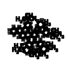 CC(C)(C)c1ccc(N2c3cc(-c4ccccc4)ccc3B3c4cc5c(cc4N(c4ccc6c(c4)C(C)(C)CCC6(C)C)c4cc(N6c7ccc(C(C)(C)C)cc7C7(C)CCCCC67C)cc2c43)C(C)(C)CCC5(C)C)c(-c2ccccc2)c1